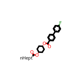 CCCCCCCC(=O)O[C@H]1CC[C@H](OC(=O)c2ccc(-c3ccc(F)cc3)cc2)CC1